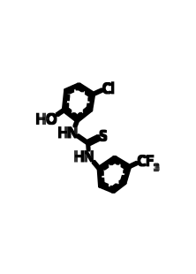 Oc1ccc(Cl)cc1NC(=S)Nc1cccc(C(F)(F)F)c1